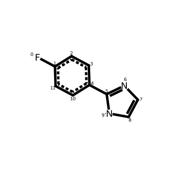 Fc1ccc(C2=NC=C[N]2)cc1